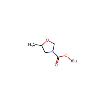 CC1CN(C(=O)OC(C)(C)C)CO1